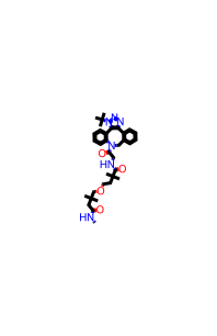 CNC(=O)CC(C)(C)COCCC(C)(C)C(=O)NCC(=O)N1Cc2ccccc2-c2nnn(C(C)(C)C)c2-c2ccccc21